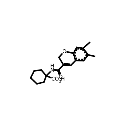 Cc1cc2c(cc1C)OCC(C(=O)NC1(C(=O)O)CCCCC1)=C2